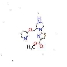 COC(=O)c1csc(N2CCNCC2COc2cccnc2)n1